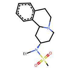 CCN([C@@H]1CCN2CCc3ccccc3C2C1)S(C)(=O)=O